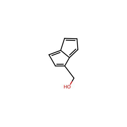 OCC1=CC=C2C=CC=C21